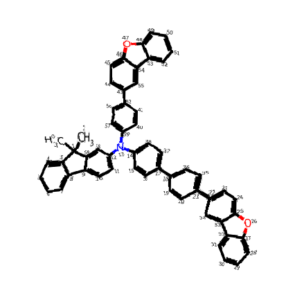 CC1(C)c2ccccc2-c2ccc(N(c3ccc(-c4ccc(-c5ccc6oc7ccccc7c6c5)cc4)cc3)c3ccc(-c4ccc5oc6ccccc6c5c4)cc3)cc21